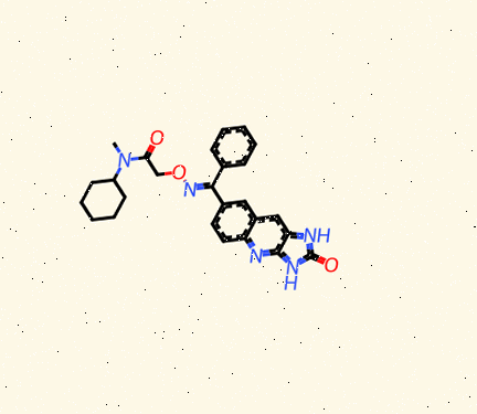 CN(C(=O)CO/N=C(\c1ccccc1)c1ccc2nc3[nH]c(=O)[nH]c3cc2c1)C1CCCCC1